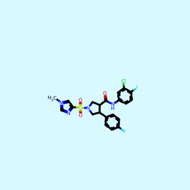 Cn1cnc(S(=O)(=O)N2CC(C(=O)Nc3ccc(F)c(Cl)c3)C(c3ccc(F)cc3)C2)c1